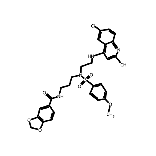 COc1ccc(S(=O)(=O)N(CCCNC(=O)c2ccc3c(c2)OCO3)CCNc2cc(C)nc3ccc(Cl)cc23)cc1